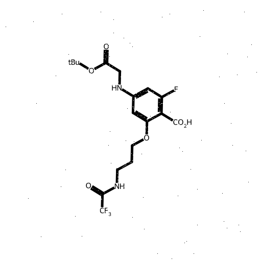 CC(C)(C)OC(=O)CNc1cc(F)c(C(=O)O)c(OCCCNC(=O)C(F)(F)F)c1